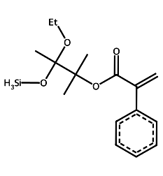 C=C(C(=O)OC(C)(C)C(C)(O[SiH3])OCC)c1ccccc1